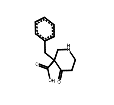 O=C(O)C1(Cc2ccccc2)CNCCC1=O